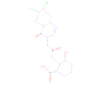 O=C(CC1C(O)CCCN1C(=O)O)Cn1cnc2cc(Br)c(Cl)cc2c1=O